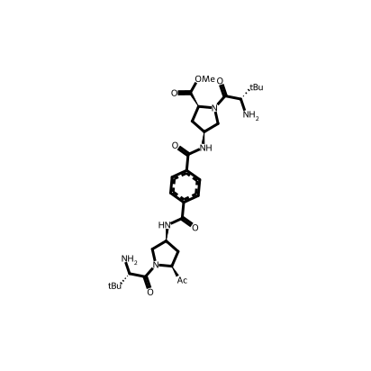 COC(=O)[C@@H]1C[C@H](NC(=O)c2ccc(C(=O)N[C@H]3C[C@@H](C(C)=O)N(C(=O)[C@@H](N)C(C)(C)C)C3)cc2)CN1C(=O)[C@@H](N)C(C)(C)C